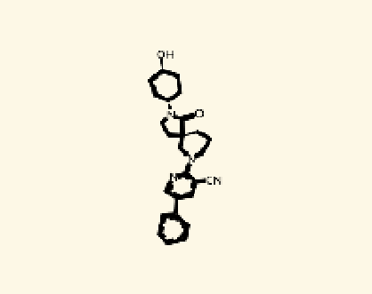 N#Cc1cc(-c2ccccc2)cnc1N1CCC[C@]2(CCN([C@H]3CC[C@H](O)CC3)C2=O)C1